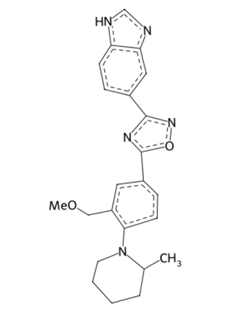 COCc1cc(-c2nc(-c3ccc4[nH]cnc4c3)no2)ccc1N1CCCCC1C